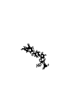 Cc1cn2cc(NC(=O)c3cnc(N4CC[C@H](CN(C(=O)O)C5CC5)C4)cn3)cc(C)c2n1